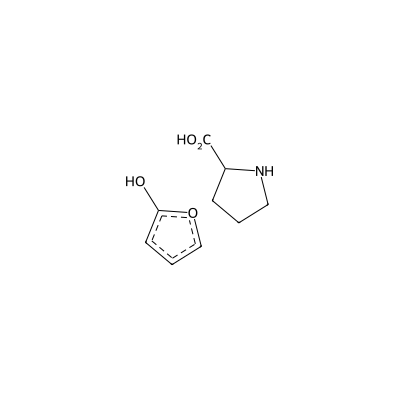 O=C(O)C1CCCN1.Oc1ccco1